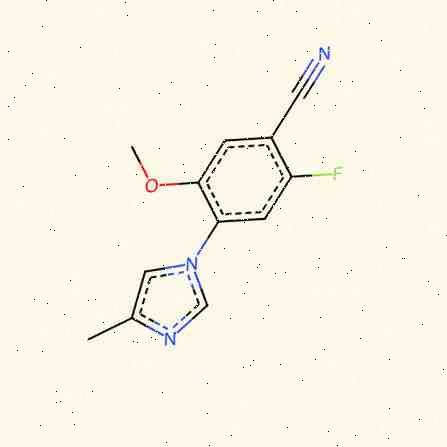 COc1cc(C#N)c(F)cc1-n1cnc(C)c1